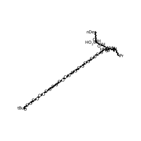 CCCCCCCCCCCCCCCC(=O)N[C@@H](CCC(=O)NCCCC[C@H](NC(=O)CCc1cn(CCCCC(C)C)nn1)C(=O)NCCOCCOCCOCCOCCOCCOCCOCCOCCOCCOCCOCCOCCOCCOCCOCCOCCOCCOCCOCCOCCOCCOCCOCCOCCC(=O)C(C)(C)C)C(=O)O